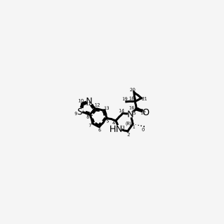 C[C@@H]1CNC(c2ccc3scnc3c2)CN1C(=O)C1(C)CC1